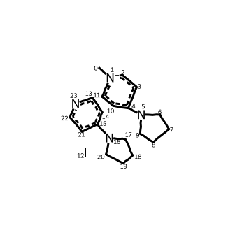 C[n+]1ccc(N2CCCC2)cc1.[I-].c1cc(N2CCCC2)ccn1